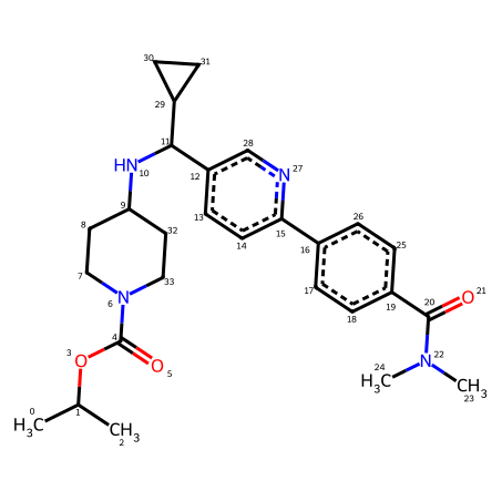 CC(C)OC(=O)N1CCC(NC(c2ccc(-c3ccc(C(=O)N(C)C)cc3)nc2)C2CC2)CC1